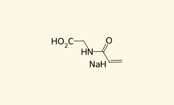 C=CC(=O)NCC(=O)O.[NaH]